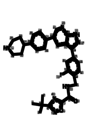 CC(C)(C)c1noc(C(=O)NCc2ccc(-c3n[nH]c4ncc(-c5ccc(C6CCNCC6)cc5)cc34)cc2F)n1